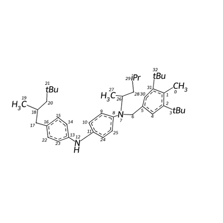 Cc1c(C(C)(C)C)cc(CN(c2ccc(Nc3ccc(CC(C)CC(C)(C)C)cc3)cc2)C(C)CC(C)C)cc1C(C)(C)C